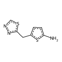 Nc1ccc(Cc2nncs2)s1